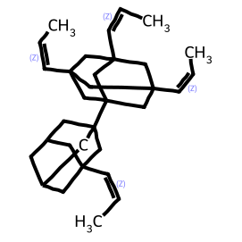 C/C=C\C12CC3CC(C1)CC(C14CC5(/C=C\C)CC(/C=C\C)(CC(/C=C\C)(C5)C1)C4)(C3)C2